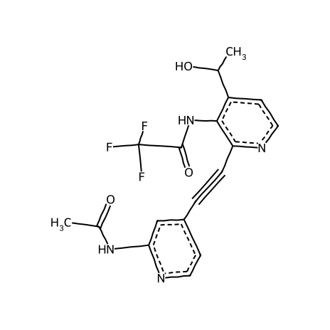 CC(=O)Nc1cc(C#Cc2nccc(C(C)O)c2NC(=O)C(F)(F)F)ccn1